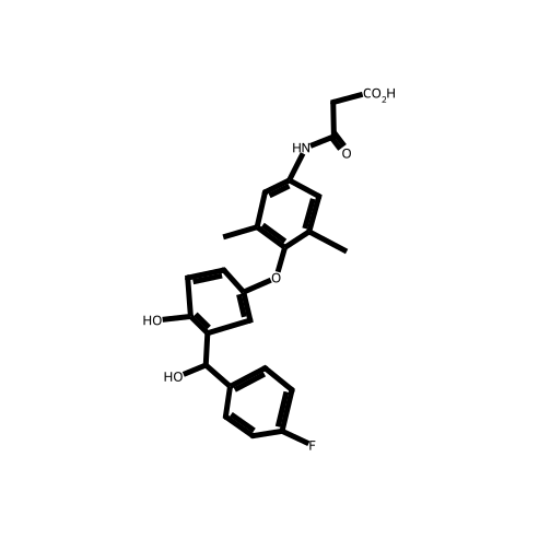 Cc1cc(NC(=O)CC(=O)O)cc(C)c1Oc1ccc(O)c(C(O)c2ccc(F)cc2)c1